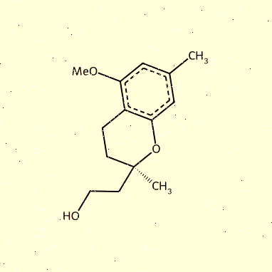 COc1cc(C)cc2c1CC[C@](C)(CCO)O2